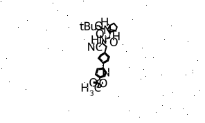 CC(C)(C)OC(=O)N1[C@@H]2CC[C@@H](C2)[C@H]1C(=O)N[C@H](C#N)Cc1ccc(-c2ccc(S(C)(=O)=O)cn2)cc1